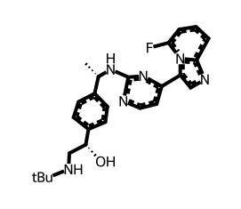 C[C@H](Nc1nccc(-c2cnc3cccc(F)n23)n1)c1ccc([C@H](O)CNC(C)(C)C)cc1